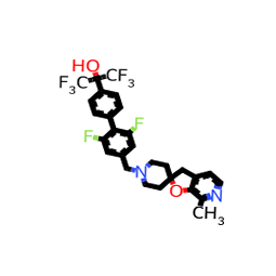 Cc1nccc2c1OC1(CCN(Cc3cc(F)c(-c4ccc(C(O)(C(F)(F)F)C(F)(F)F)cc4)c(F)c3)CC1)C2